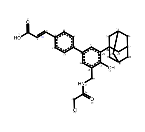 O=C(O)/C=C/c1ccc(-c2cc(CNC(=O)CCl)c(O)c(C34CC5CC(CC(C5)C3)C4)c2)cc1